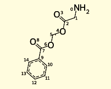 NCC(=O)O[CH]OC(=O)c1ccccc1